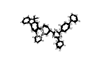 CC1(C)c2ccccc2-c2cc3c(cc21)N1C=CC(c2nc(-c4ccccc4)nc(-c4ccc(-c5ccccc5)cc4)n2)=CB1N1C=CC=CB31